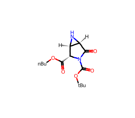 CCCCOC(=O)[C@@H]1[C@H]2N[C@H]2C(=O)N1C(=O)OC(C)(C)C